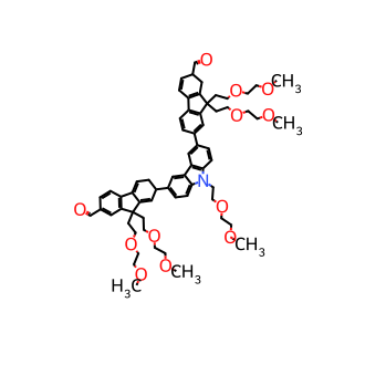 COCCOCCn1c2ccc(-c3ccc4c(c3)C(CCOCCOC)(CCOCCOC)C3=C4C=CC(C=O)C3)cc2c2cc(C3C=C4C(=CC3)c3ccc(C=O)cc3C4(CCOCCOC)CCOCCOC)ccc21